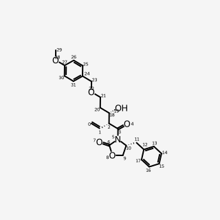 C=C[C@@H](C(=O)N1C(=O)OC[C@H]1Cc1ccccc1)[C@@H](O)CCOCc1ccc(OC)cc1